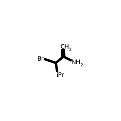 C=C(N)C(Br)C(C)C